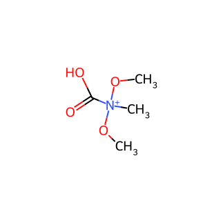 CO[N+](C)(OC)C(=O)O